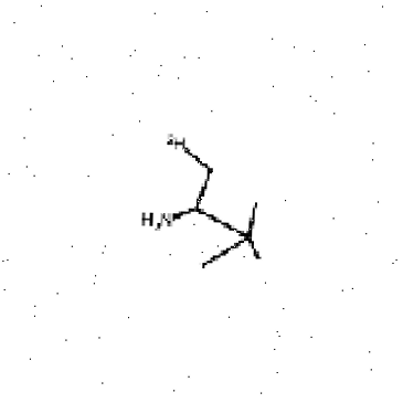 [2H]C[C@H](N)C(C)(C)C